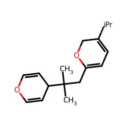 CC(C)C1=CC=C(CC(C)(C)C2C=COC=C2)OC1